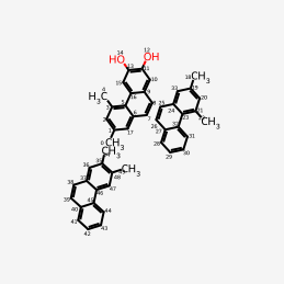 Cc1cc(C)c2c(ccc3cc(O)c(O)cc32)c1.Cc1cc(C)c2c(ccc3ccccc32)c1.Cc1cc2ccc3ccccc3c2cc1C